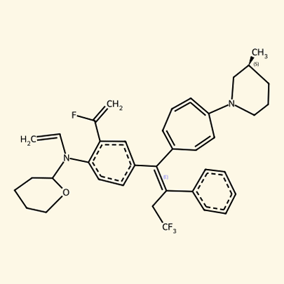 C=CN(c1ccc(/C(C2=CC=C=C(N3CCC[C@H](C)C3)C=C2)=C(\CC(F)(F)F)c2ccccc2)cc1C(=C)F)C1CCCCO1